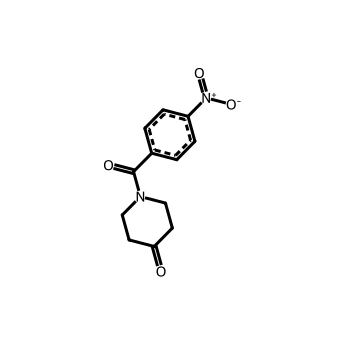 O=C1CCN(C(=O)c2ccc([N+](=O)[O-])cc2)CC1